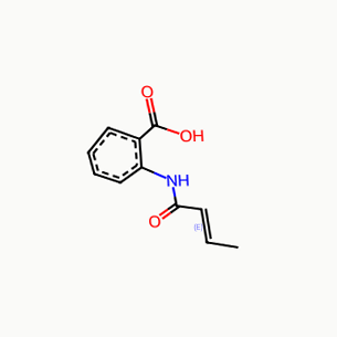 C/C=C/C(=O)Nc1ccccc1C(=O)O